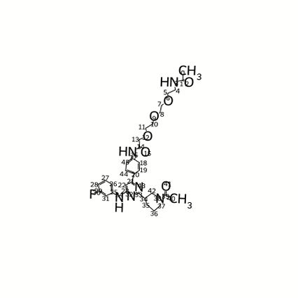 CC(=O)NCCOCCOCCOCC(=O)Nc1ccc(-c2cc(Nc3cccc(F)c3)nc(C3CCCN(C(C)=O)C3)n2)cc1